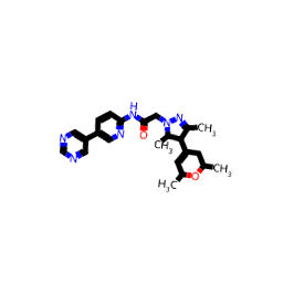 CC1=NN(CC(=O)Nc2ccc(-c3cncnc3)cn2)C(C)C1C1=CC(C)OC(C)C1